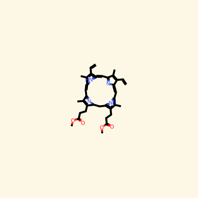 C=CC1=C(C)C2=NC/1=C\c1[nH]c(c(CCC(=O)OC)c1C)CC1N=C(/C=c3\[nH]/c(c(C=C)c3C)=C\2)C(C)=C1CCC(=O)OC